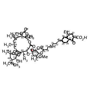 CC[C@@H]1OC(=O)[C@H](C)[C@@H](O[C@H]2C[C@@](C)(OC)[C@@H](OC(=O)CCNCCSc3ccc4c(=O)c(C(=O)O)cn(CC)c4c3)[C@@H](C)O2)[C@@H](C)[C@H](O[C@H]2O[C@@H](C)C[C@@H](N(C)C)[C@H]2O)[C@](C)(O)C[C@H](C)CN(C)[C@H](C)[C@H]2OC(=O)O[C@]12C